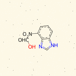 O=CO.O=[N+]([O-])c1cccc2[nH]cnc12